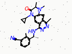 Cc1c(C#N)cccc1[C@@H](C)Nc1nnc(C)c2cc3c(cc12)N(C1CC1)C(=O)C(C)N3C